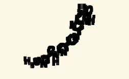 CCc1cc2ncc(CN3CC=C(c4ccc(NC(=O)c5cnn(C)c5)nc4)CC3)cc2[nH]c1=O